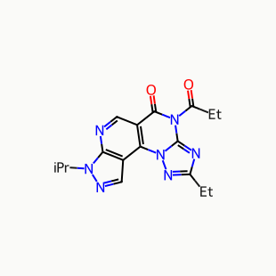 CCC(=O)n1c(=O)c2cnc3c(cnn3C(C)C)c2n2nc(CC)nc12